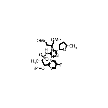 COCC(COC)n1c(NS(=O)(=O)[C@@H](C)[C@@H](OC(C)C)c2ncc(F)cn2)nnc1[C@@H]1CC[C@H](C)O1